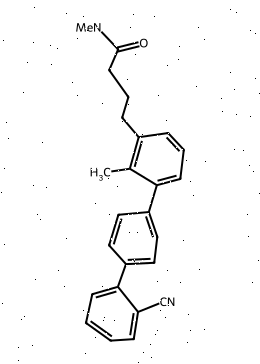 CNC(=O)CCCc1cccc(-c2ccc(-c3ccccc3C#N)cc2)c1C